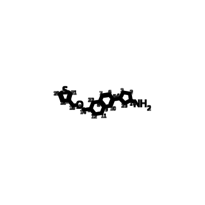 NC1CCC(c2ccc3c(c2)CCC(COCc2ccsc2)C3)C1